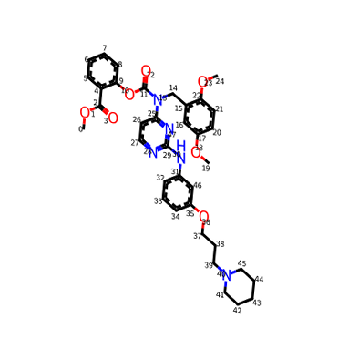 COC(=O)c1ccccc1OC(=O)N(Cc1cc(OC)ccc1OC)c1ccnc(Nc2cccc(OCCCN3CCCCC3)c2)n1